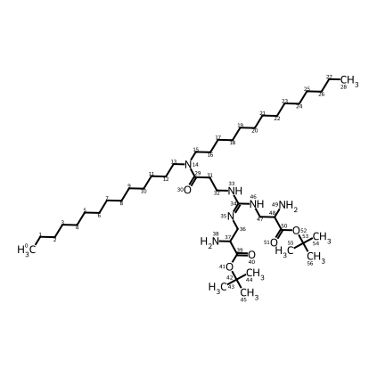 CCCCCCCCCCCCCCN(CCCCCCCCCCCCCC)C(=O)CCNC(=NCC(N)C(=O)OC(C)(C)C)NCC(N)C(=O)OC(C)(C)C